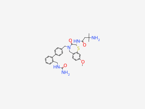 COc1ccc2c(c1)S[C@@H](NC(=O)CC(C)(C)N)C(=O)N(Cc1ccc(-c3ccccc3CNC(N)=O)cc1)C2